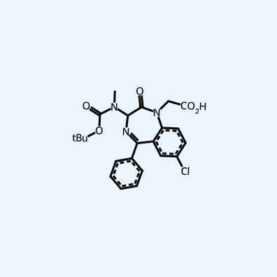 CN(C(=O)OC(C)(C)C)C1N=C(c2ccccc2)c2cc(Cl)ccc2N(CC(=O)O)C1=O